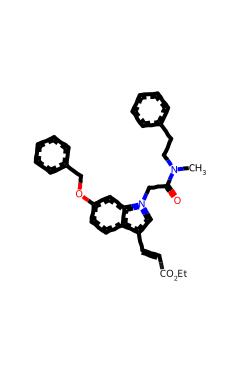 CCOC(=O)/C=C/c1cn(CC(=O)N(C)CCc2ccccc2)c2cc(OCc3ccccc3)ccc12